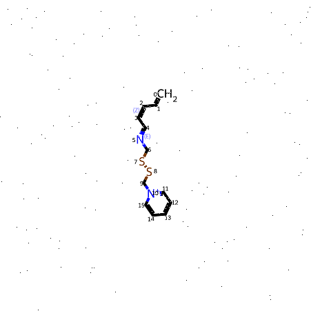 C=C/C=C\C=N\CSSC[n+]1ccccc1